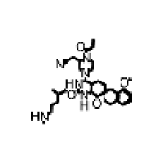 C=CC(=O)N1CCN(C2NC(OCC(C)CCCNC)NC3C(=O)[C@@]4(CCc5cccc(OC)c5C4)CCC32)CC1CC#N